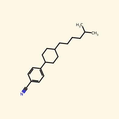 CC(C)CCCCC1CCC(c2ccc(C#N)cc2)CC1